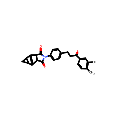 Cc1ccc(C(=O)CCc2ccc(N3C(=O)C4C5C=CC(C6CC56)C4C3=O)cc2)cc1C